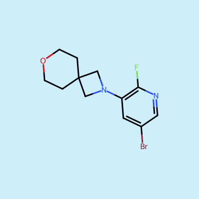 Fc1ncc(Br)cc1N1CC2(CCOCC2)C1